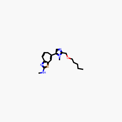 CCCCCOCc1ncc(C2=Cc3sc(NC)nc3C=CC2)n1C